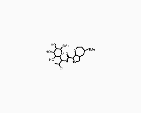 CNC1CCOC2C(CNC2C(=O)NC(C(C)Cl)C2OC(SC)C(O)C(O)C2O)C1